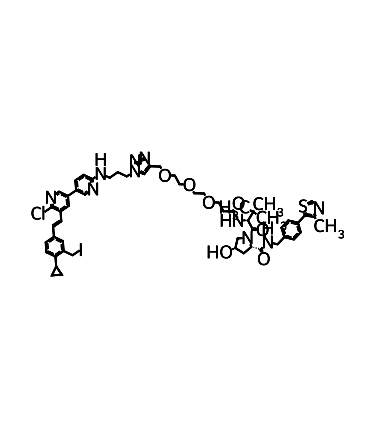 Cc1ncsc1-c1ccc(CNC(=O)[C@@H]2C[C@@H](O)CN2C(=O)[C@@H](NC(=O)CCOCCOCCOCc2cn(CCCNc3ccc(-c4cnc(Cl)c(/C=C/c5ccc(C6CC6)c(CI)c5)c4)cn3)nn2)C(C)(C)C)cc1